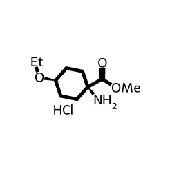 CCO[C@H]1CC[C@](N)(C(=O)OC)CC1.Cl